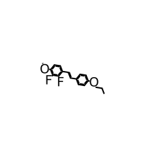 CCCOc1ccc(C=Cc2ccc(OC)c(F)c2F)cc1